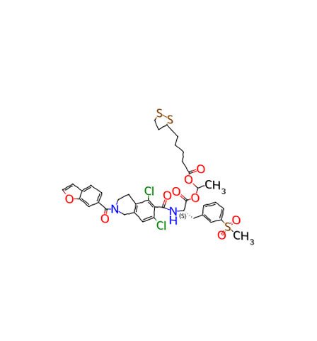 CC(OC(=O)CCCCC1CCSS1)OC(=O)[C@H](Cc1cccc(S(C)(=O)=O)c1)NC(=O)c1c(Cl)cc2c(c1Cl)CCN(C(=O)c1ccc3ccoc3c1)C2